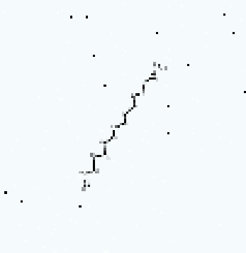 CCCCOCCCCCCCCCCCCSCC